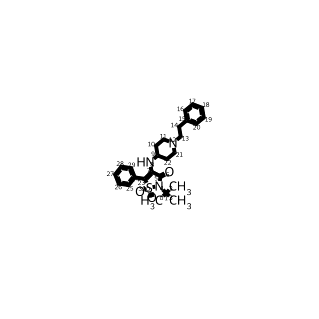 CC(C)(C)N1C(=O)C(NC2CCN(CCc3ccccc3)CC2)=C(c2ccccc2)S1(=O)=O